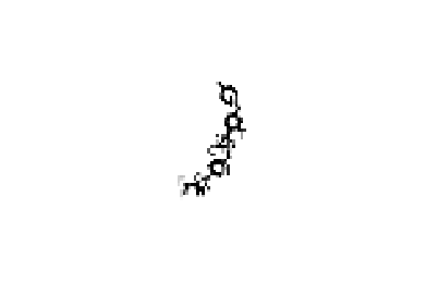 CC1CCN(Cc2ccc(-c3nn(Cc4ccc(-c5nnc(C(F)F)o5)cn4)c(=O)o3)c(F)c2)CC1